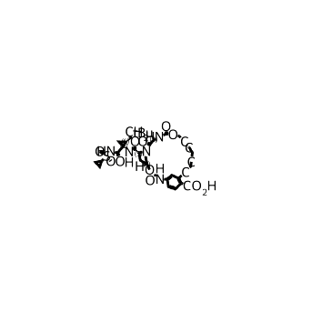 C=C[C@@H]1C[C@]1(NC(=O)[C@@H]1C[C@@H]2CN1C(=O)[C@H](C(C)(C)C)NC(=O)OCCCCCCCc1cc(ccc1C(=O)O)NC(=O)O2)C(=O)NS(=O)(=O)C1CC1